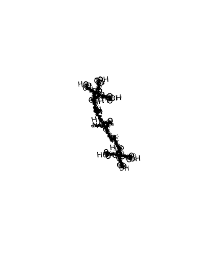 CNCCCc1c(OCCCCc2cn(CCCNC(=O)c3cc(OCCCS(=O)(=O)O)c(OCCCS(=O)(=O)O)c(OCCCS(=O)(=O)O)c3)nn2)cc(C(C)=O)cc1OCCCCc1cn(CCCNC(=O)c2cc(OCCCS(=O)(=O)O)c(OCCCS(=O)(=O)O)c(OCCCS(=O)(=O)O)c2)n1C